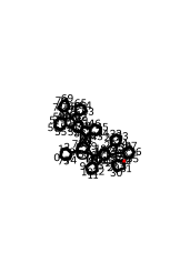 c1ccc(-c2cc(-n3c4ccccc4c4cc5c(cc43)-c3ccccc3C5(c3ccccc3)c3ccccc3)cc(-n3c4ccccc4c4cc5c(cc43)-c3ccccc3C5(c3ccccc3)c3ccccc3)c2)cc1